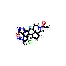 C=CC(=O)N1CCCC2C(=CC=CC2c2c(F)cc(C(N)=O)c3[nH]c(C)c(Cl)c23)C1